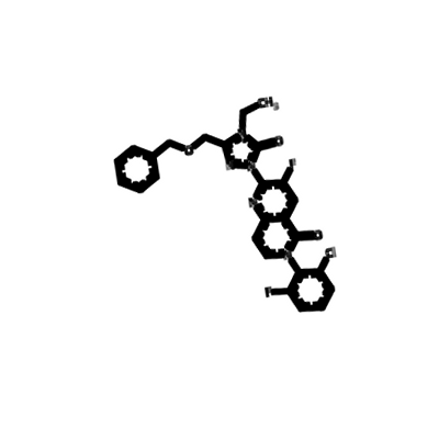 CCn1c(COCc2ccccc2)nn(-c2nc3ccn(-c4c(F)cccc4Cl)c(=O)c3cc2F)c1=O